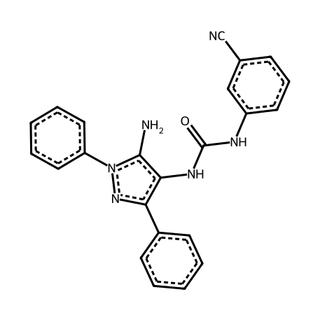 N#Cc1cccc(NC(=O)Nc2c(-c3ccccc3)nn(-c3ccccc3)c2N)c1